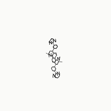 Cc1cc(-c2cccc(-c3ncccn3)c2)c2ccc3c(ccc4c(-c5cccc(-c6ncccn6)c5)cc(C)nc43)c2n1